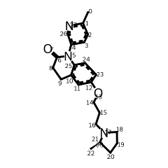 Cc1ccc(N2C(=O)CCc3cc(OCCCN4CCC[C@H]4C)ccc32)cn1